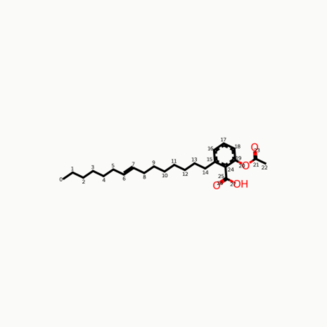 CCCCCCC=CCCCCCCCc1cccc(OC(C)=O)c1C(=O)O